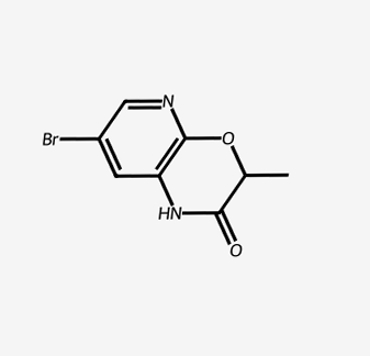 CC1Oc2ncc(Br)cc2NC1=O